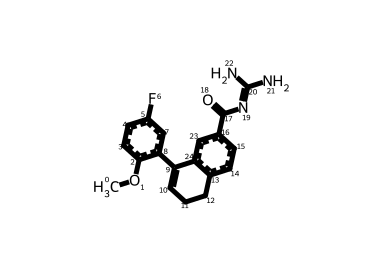 COc1ccc(F)cc1C1=CCCc2ccc(C(=O)N=C(N)N)cc21